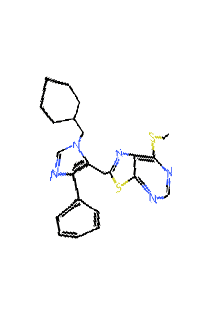 CSc1ncnc2sc(-c3c(-c4ccccc4)ncn3CC3CCCCC3)nc12